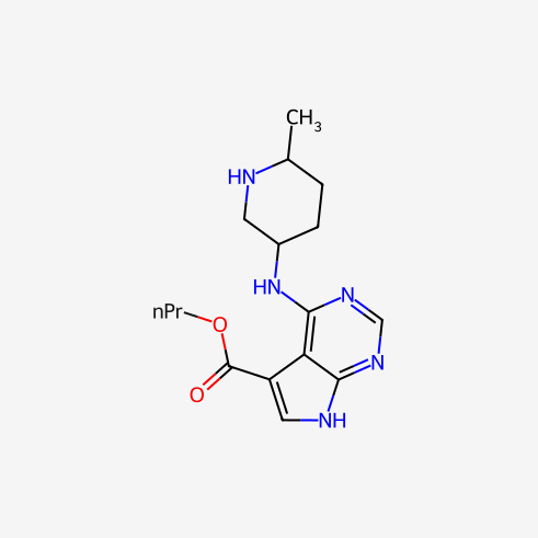 CCCOC(=O)c1c[nH]c2ncnc(NC3CCC(C)NC3)c12